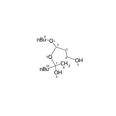 CCCCOC(CCO)OC(C)(O)CCCC